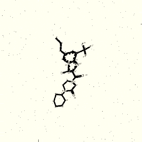 CCCc1cc(C(F)(F)F)c2nc(C(=O)N3CCN(C4CCCCC4)C(=O)C3)c(Cl)n2c1